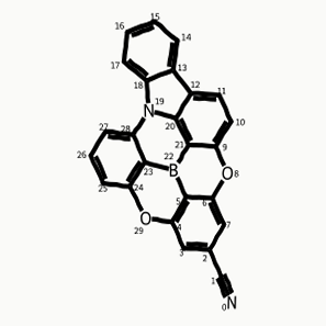 N#Cc1cc2c3c(c1)Oc1ccc4c5ccccc5n5c4c1B3c1c(cccc1-5)O2